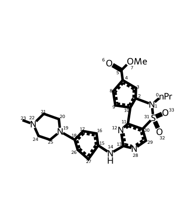 CCCN1c2cc(C(=O)OC)ccc2-c2nc(Nc3ccc(N4CCN(C)CC4)cc3)ncc2S1(=O)=O